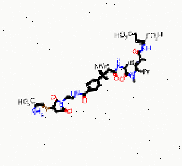 CNC(C(=O)NC(C(=O)N(C)C(/C=C(\C)C(=O)N[C@H](CCC(=O)O)C(=O)O)C(C)C)C(C)(C)C)C(C)(C)c1ccc(C(=O)NCCN2C(=O)CC(SC[C@H](N)C(=O)O)C2=O)cc1